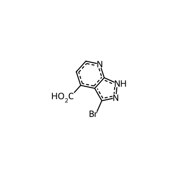 O=C(O)c1ccnc2[nH]nc(Br)c12